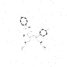 CCOC(=O)C[C@@H]1[C@@H]([C@@H](NC(=O)OC(C)(C)C)c2ccc(Br)cc2)CN(S(=O)(=O)c2ccc(C)cc2)[C@@H]1C(=O)O